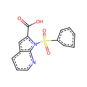 O=C(O)c1cc2cccnc2n1S(=O)(=O)c1ccccc1